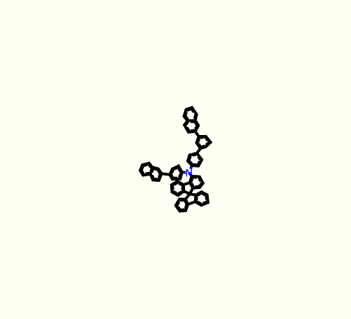 c1cc(-c2ccc(N(c3ccc(-c4ccc5ccccc5c4)cc3)c3cccc4c3-c3ccccc3C43c4ccccc4-c4ccccc43)cc2)cc(-c2ccc3ccccc3c2)c1